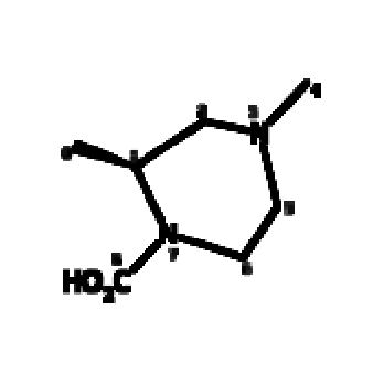 C[C@H]1CN(C)CCN1C(=O)O